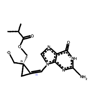 CC(C)C(=O)OC[C@@]1(C[O])C/C1=C/n1cnc2c(=O)[nH]c(N)nc21